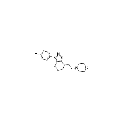 Fc1ccc(-n2ncc3c2CCCC3CCN2CCOCC2)cc1